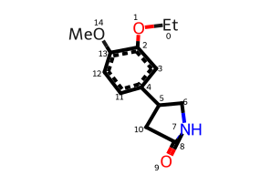 CCOc1cc(C2CNC(=O)C2)ccc1OC